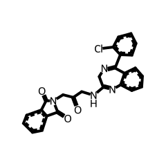 O=C(CNC1=Nc2ccccc2C(c2ccccc2Cl)=NC1)CN1C(=O)c2ccccc2C1=O